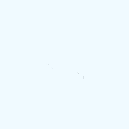 Cc1ccc(Sc2ccc3ccnn3c2)nn1